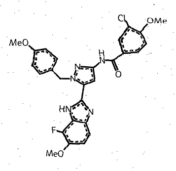 COc1ccc(Cn2nc(NC(=O)c3ccc(OC)c(Cl)c3)cc2-c2nc3ccc(OC)c(F)c3[nH]2)cc1